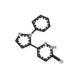 O=c1ccc(-c2ccnn2-c2ccccc2)n[nH]1